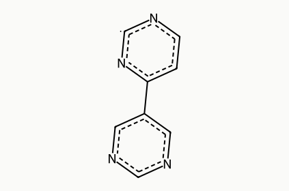 [c]1nccc(-c2cncnc2)n1